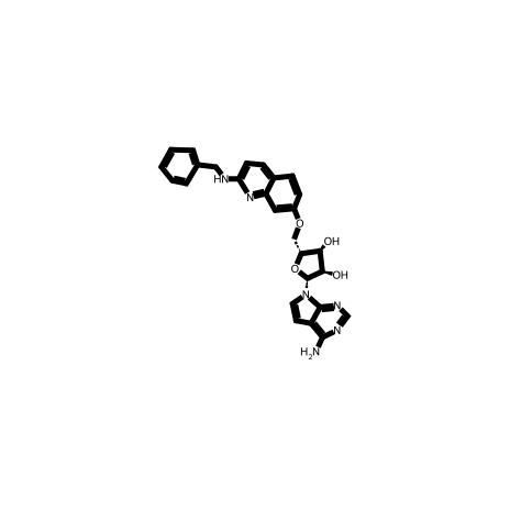 Nc1ncnc2c1ccn2[C@@H]1O[C@H](COc2ccc3ccc(NCc4ccccc4)nc3c2)[C@@H](O)[C@H]1O